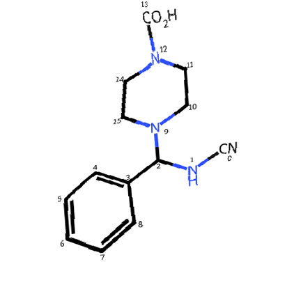 N#CNC(c1ccccc1)N1CCN(C(=O)O)CC1